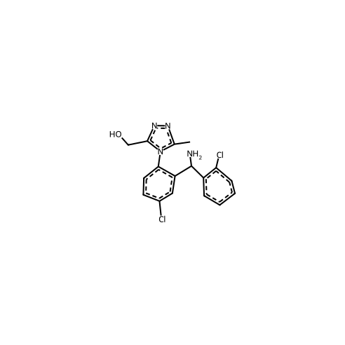 Cc1nnc(CO)n1-c1ccc(Cl)cc1C(N)c1ccccc1Cl